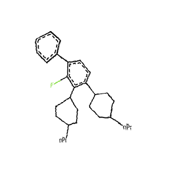 CCCC1CCC(c2ccc(-c3ccccc3)c(F)c2C2CCC(CCC)CC2)CC1